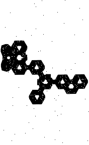 c1ccc(-c2cc(-c3ccc4c(ccc5ccccc54)c3)nc(-c3cccc(-c4cccc5c4Sc4ccccc4C54c5ccccc5-c5ccccc54)c3)n2)cc1